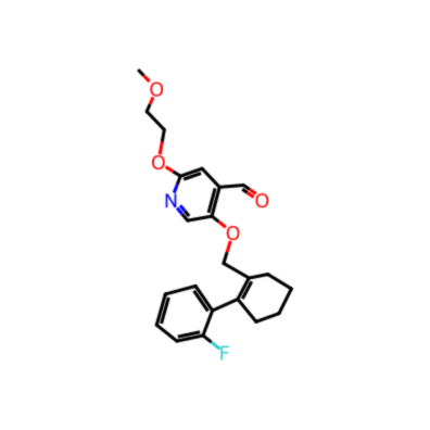 COCCOc1cc(C=O)c(OCC2=C(c3ccccc3F)CCCC2)cn1